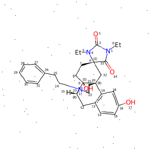 CCN1C(=O)N(CC)[C@]2(CC[C@@]3(O)[C@H]4Cc5ccc(O)cc5[C@@]3(CCN4CCc3ccccc3)C2)C1=O